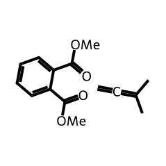 C=C=C(C)C.COC(=O)c1ccccc1C(=O)OC